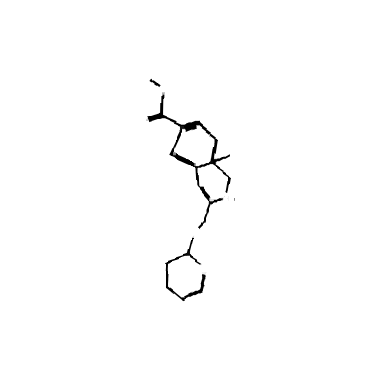 COC(=O)C1=CCC2(C)CNC(COC3CCCCO3)=CC2=C1